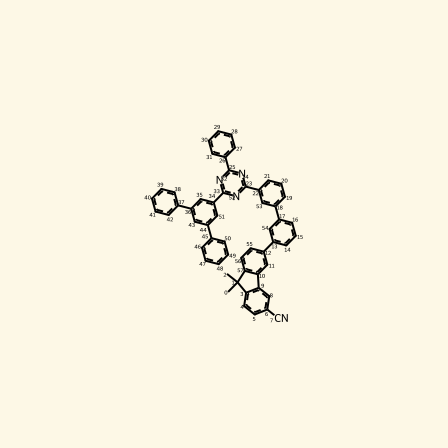 CC1(C)c2ccc(C#N)cc2-c2cc(-c3cccc(-c4cccc(-c5nc(-c6ccccc6)nc(-c6cc(-c7ccccc7)cc(-c7ccccc7)c6)n5)c4)c3)ccc21